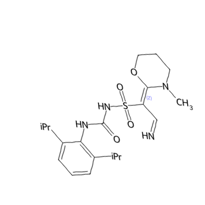 CC(C)c1cccc(C(C)C)c1NC(=O)NS(=O)(=O)/C(C=N)=C1\OCCCN1C